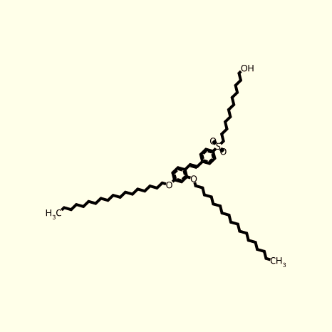 CCCCCCCCCCCCCCCCCCOc1ccc(C=Cc2ccc(S(=O)(=O)CCCCCCCCCCCCO)cc2)c(OCCCCCCCCCCCCCCCCCC)c1